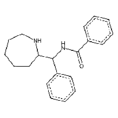 O=C(NC(c1ccccc1)C1CCCCCN1)c1ccccc1